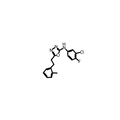 Cc1ccccc1CCc1nnc(Nc2ccc(F)c(Cl)c2)o1